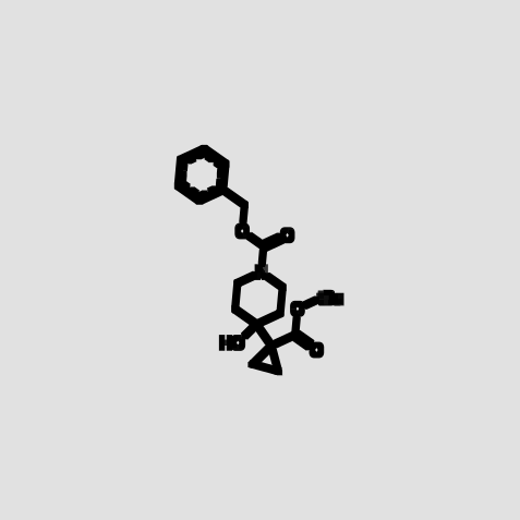 CC(C)(C)OC(=O)C1(C2(O)CCN(C(=O)OCc3ccccc3)CC2)CC1